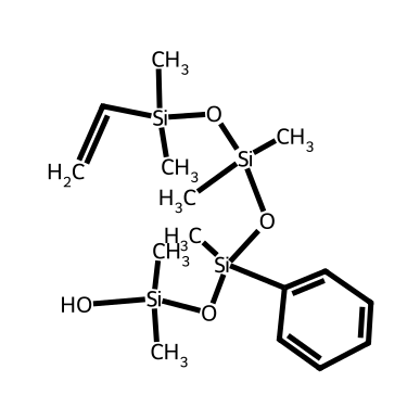 C=C[Si](C)(C)O[Si](C)(C)O[Si](C)(O[Si](C)(C)O)c1ccccc1